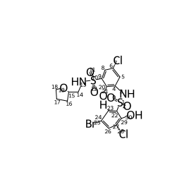 O=S(=O)(Nc1cc(Cl)cc(S(=O)(=O)NCC2CCCO2)c1O)c1cc(Br)cc(Cl)c1O